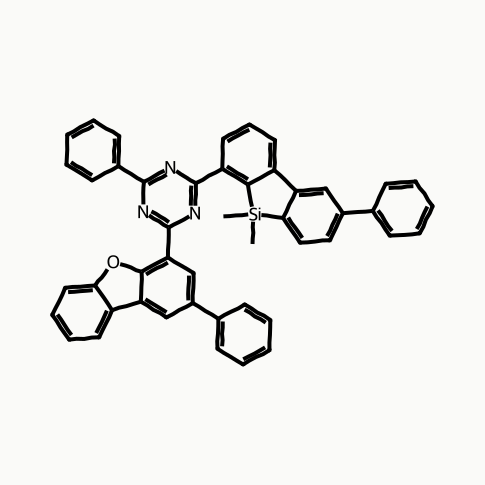 C[Si]1(C)c2ccc(-c3ccccc3)cc2-c2cccc(-c3nc(-c4ccccc4)nc(-c4cc(-c5ccccc5)cc5c4oc4ccccc45)n3)c21